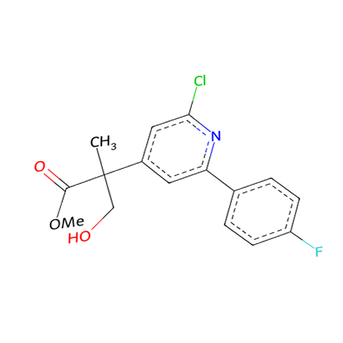 COC(=O)C(C)(CO)c1cc(Cl)nc(-c2ccc(F)cc2)c1